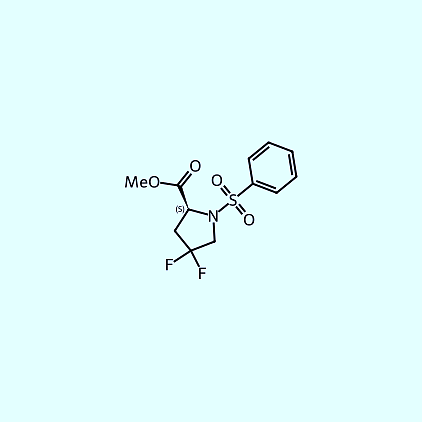 COC(=O)[C@@H]1CC(F)(F)CN1S(=O)(=O)c1ccccc1